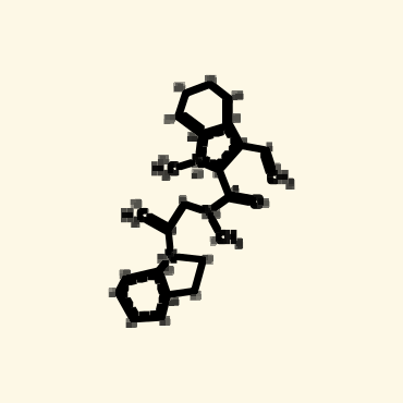 C=Cc1c(C(=O)N(C)CC(=C)N2CCc3ccccc32)n(C)c2c1=CCCC=2